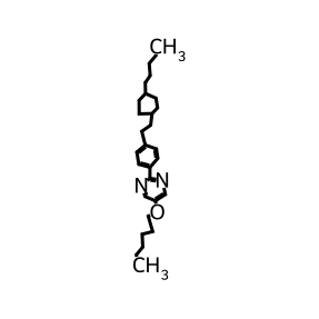 CCCCCCOc1cnc(-c2ccc(CCC3CCC(CCCCC)CC3)cc2)nc1